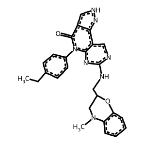 CCc1ccc(-n2c(=O)c3c[nH]nc3c3cnc(NCC4CN(C)c5ccccc5O4)nc32)cc1